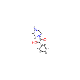 CN1CCN(C(=O)C(O)c2ccccc2)CC1